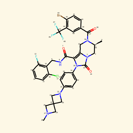 C[C@H]1Cn2c(c(C(=O)NCc3c(F)cccc3Cl)n(-c3ccc(N4CC5(CN(C)C5)C4)cc3)c2=O)CN1C(=O)c1ccc(Br)c(C(F)(F)F)c1